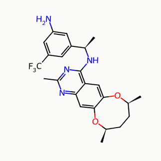 Cc1nc(N[C@H](C)c2cc(N)cc(C(F)(F)F)c2)c2cc3c(cc2n1)O[C@H](C)CC[C@H](C)O3